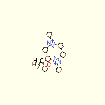 CC1(C)c2ccccc2Oc2c(-c3nc(-c4ccccc4)nc(-c4cccc(-c5cccc(-c6nc(-c7ccccc7)nc(-c7ccccc7)n6)c5)c4)n3)cccc21